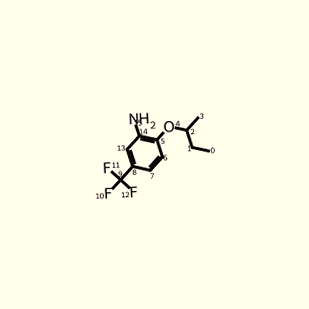 CCC(C)Oc1ccc(C(F)(F)F)cc1N